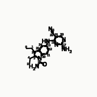 CCc1c(CC)n(C(N)=O)c2ccc(Nc3nc(N)ncc3C#N)cc12